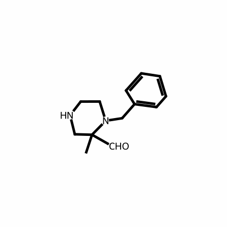 CC1(C=O)CNCCN1Cc1ccccc1